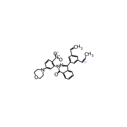 C=Cc1cc(/C=C\C)cc(-c2nn(-c3cc(N4CCOCC4)ccc3[N+](=O)[O-])c(=O)c3ccccc23)c1